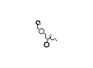 COCC(=O)N(CCN1CCN(Cc2cccs2)CC1)c1ccccc1